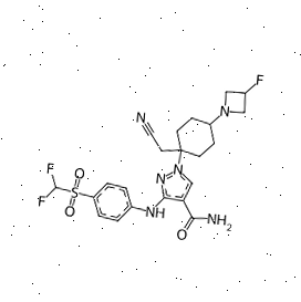 N#CCC1(n2cc(C(N)=O)c(Nc3ccc(S(=O)(=O)C(F)F)cc3)n2)CCC(N2CC(F)C2)CC1